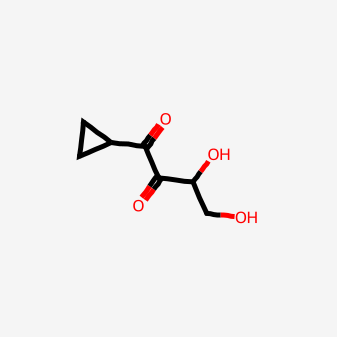 O=C(C(=O)C1CC1)C(O)CO